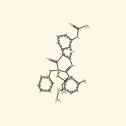 CCCC1=Nc2sc3c(OC(C)=O)cccc3c2C(=O)[N+]1(Cc1ccccc1)Cc1cc(Br)ccc1OC